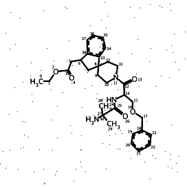 CCOC(=O)CC1CC2(CCN(C(=O)C(COCc3ccccc3)NC(=O)C(C)(C)N)CC2)c2ccccc21